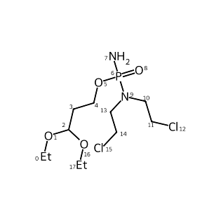 CCOC(CCOP(N)(=O)N(CCCl)CCCl)OCC